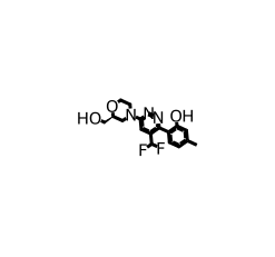 Cc1ccc(-c2nnc(N3CCO[C@H](CO)C3)cc2C(F)F)c(O)c1